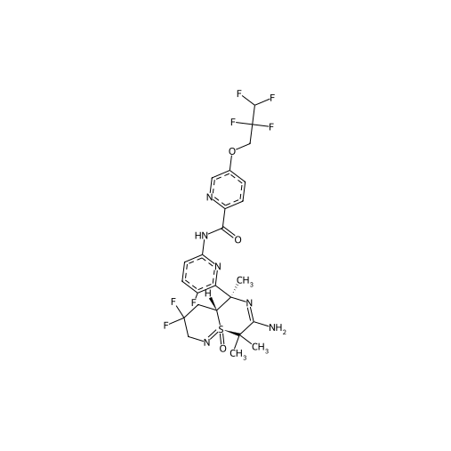 CC1(C)C(N)=N[C@](C)(c2nc(NC(=O)c3ccc(OCC(F)(F)C(F)F)cn3)ccc2F)[C@H]2CC(F)(F)CN=[S@@]21=O